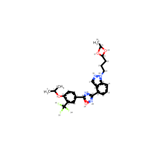 CC(C)Oc1ccc(-c2nc(-c3cccc4c3cnn4CCCC3OC(C)O3)no2)cc1C(F)(F)F